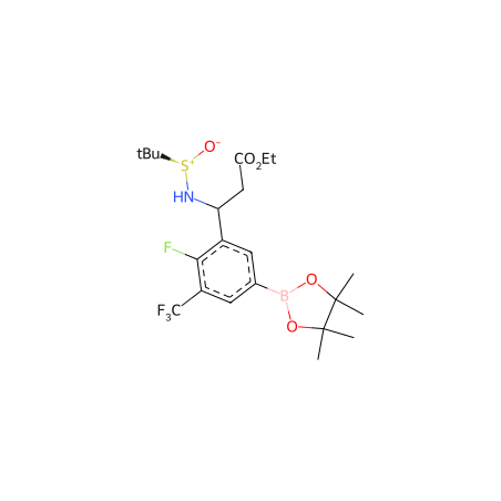 CCOC(=O)CC(N[S@+]([O-])C(C)(C)C)c1cc(B2OC(C)(C)C(C)(C)O2)cc(C(F)(F)F)c1F